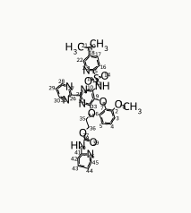 COc1ccccc1Oc1c(NS(=O)(=O)c2ccc(C(C)C)cn2)nc(-c2ncccn2)nc1OCCOC(=O)Nc1ccccn1